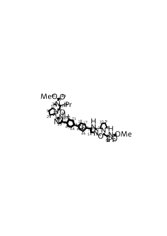 COC(=O)N[C@H](C(=O)N1CCC[C@H]1c1ncc(C23CCC(c4ccc(-c5cnc([C@@H]6CCCN6C(=O)[C@H](C(C)C)N(C)C(=O)OC)[nH]5)cc4)(CC2)CC3)[nH]1)C(C)C